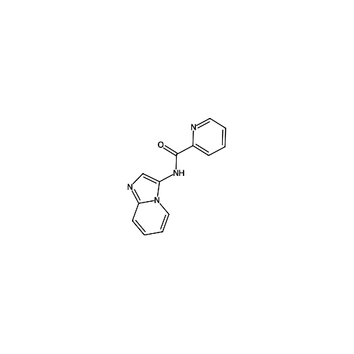 O=C(Nc1cnc2ccccn12)c1ccccn1